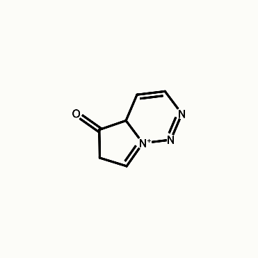 O=C1CC=[N+]2N=NC=CC12